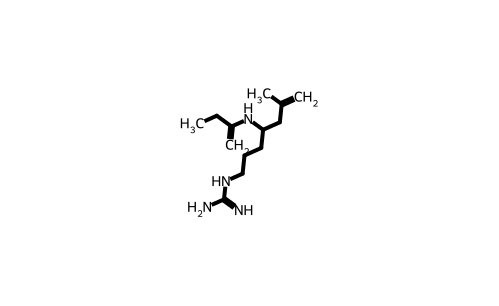 C=C(C)CC(CCCNC(=N)N)NC(=C)CC